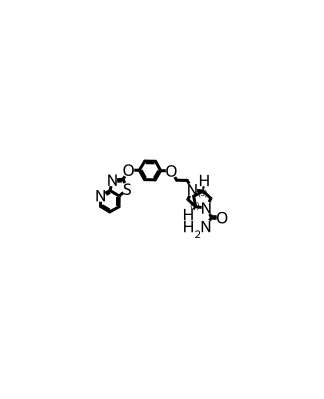 NC(=O)N1C[C@@H]2C[C@H]1CN2CCOc1ccc(Oc2nc3ncccc3s2)cc1